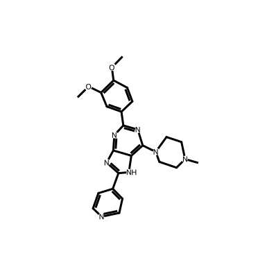 COc1ccc(-c2nc(N3CCN(C)CC3)c3[nH]c(-c4ccncc4)nc3n2)cc1OC